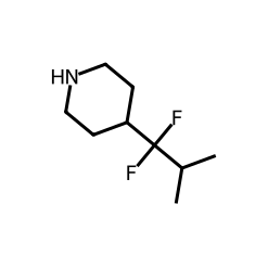 CC(C)C(F)(F)C1CCNCC1